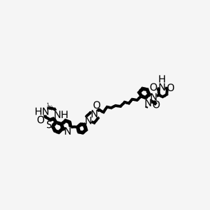 C[C@@H]1CNc2c(sc3ccc4nc(-c5cccc(N6CCN(C(=O)CCCCCCCCCc7cccc8c7n(C)c(=O)n8C7CCC(=O)NC7=O)CC6)c5)ccc4c23)C(=O)N1